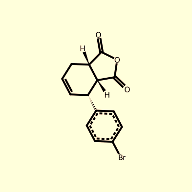 O=C1OC(=O)[C@H]2CC=C[C@@H](c3ccc(Br)cc3)[C@@H]12